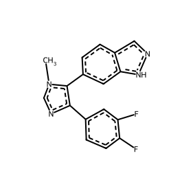 Cn1cnc(-c2ccc(F)c(F)c2)c1-c1ccc2cn[nH]c2c1